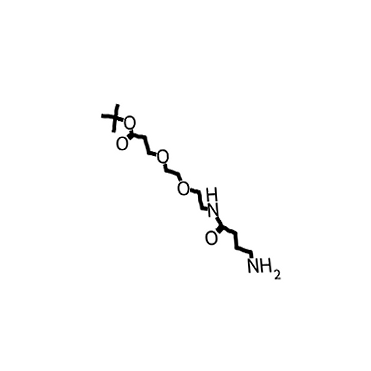 CC(C)(C)OC(=O)CCOCCOCCNC(=O)CCCN